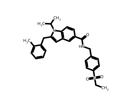 CCS(=O)(=O)c1ccc(CNC(=O)c2ccc3c(c2)cc(Cc2ccccc2C)n3C(C)C)cc1